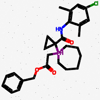 Cc1cc(Cl)cc(C)c1NC(=O)C1([PH]2(CC(=O)OCc3ccccc3)CCCCCC2)CC1